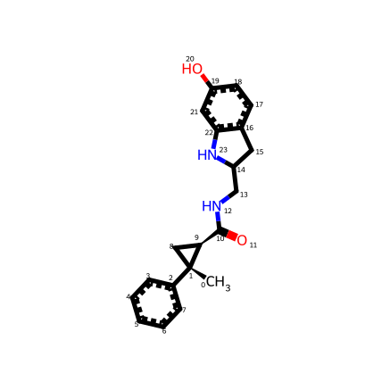 C[C@@]1(c2ccccc2)C[C@H]1C(=O)NCC1Cc2ccc(O)cc2N1